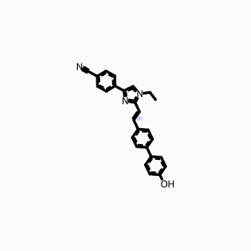 CCn1cc(-c2ccc(C#N)cc2)nc1/C=C/c1ccc(-c2ccc(O)cc2)cc1